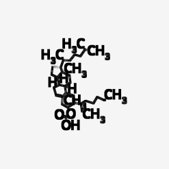 CCCCCC(CC)C1C[C@@]2(C)C(=CC[C@H]3[C@@H]4CC[C@H]([C@H](C)CCCC(C)C)[C@@]4(C)CC[C@@H]32)CC1OC(=O)O